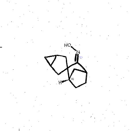 O/N=C1/C2CC[C@@H](C2)C12CC1CC1C2